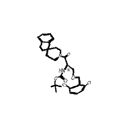 CC(C)(C)OC(=O)N[C@H](COCc1c(Cl)cccc1Cl)C(=O)N1CCC2(CCc3ccccc32)CC1